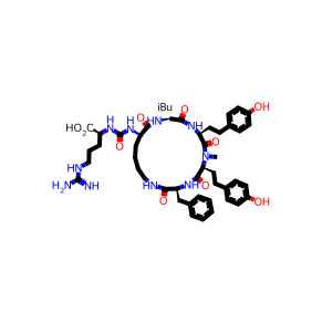 CC[C@H](C)[C@@H]1NC(=O)[C@H](NC(=O)N[C@@H](CCCNC(=N)N)C(=O)O)CCCCNC(=O)[C@H](Cc2ccccc2)NC(=O)[C@H](CCc2ccc(O)cc2)N(C)C(=O)[C@H](CCc2ccc(O)cc2)NC1=O